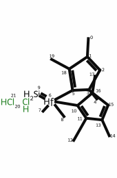 CC1=CC(C)[C]([Hf]([CH3])([CH3])(=[SiH2])[C]2=C(C)C(C)=CC2C)=C1C.Cl.Cl